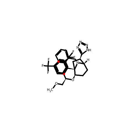 COC[C@H](O[C@@H]1CC[C@H]2[C@H](c3nnn[nH]3)C[C@]1(c1ccccc1)N2Cc1ccccc1)c1cc(C(F)(F)F)cc(C(F)(F)F)c1